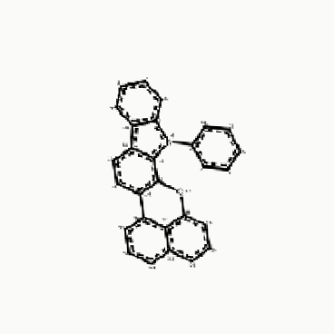 c1ccc(-n2c3ccccc3c3ccc4c(c32)Oc2cccc3cccc-4c23)cc1